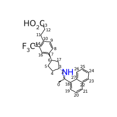 C[C@@H](N[C@@H]1CC[C@@H](c2ccc(CCC(=O)O)c(C(F)(F)F)c2)C1)c1cccc2ccccc12